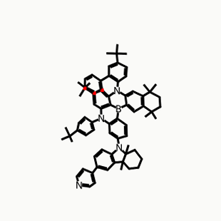 CC(C)(C)c1ccc(N2c3cc(N4c5ccc(-c6ccncc6)cc5C5(C)CCCCC45C)ccc3B3c4cc5c(cc4N(c4ccc(C(C)(C)C)cc4-c4ccccc4)c4cc(C(C)(C)C)cc2c43)C(C)(C)CCC5(C)C)cc1